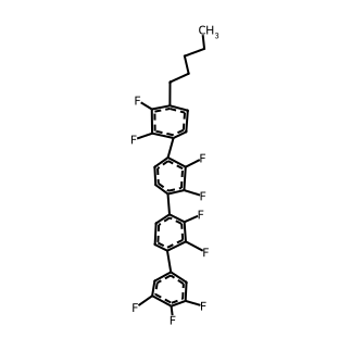 CCCCCc1ccc(-c2ccc(-c3ccc(-c4cc(F)c(F)c(F)c4)c(F)c3F)c(F)c2F)c(F)c1F